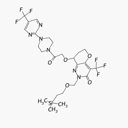 C[Si](C)(C)CCOCn1nc2c(c(C(F)(F)F)c1=O)OCCC2OCC(=O)N1CCN(c2ncc(C(F)(F)F)cn2)CC1